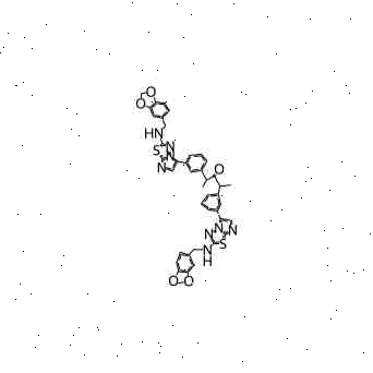 CC(C(=O)C(C)c1cccc(-c2cnc3sc(NCc4ccc5c(c4)OCO5)nn23)c1)c1cccc(-c2cnc3sc(NCc4ccc5c(c4)OCO5)nn23)c1